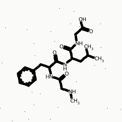 CNCC(=O)NC(Cc1ccccc1)C(=O)NC(CC(C)C)C(=O)NCC(=O)O